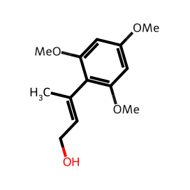 COc1cc(OC)c(C(C)=CCO)c(OC)c1